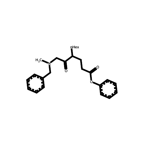 CCCCCCC(CCC(=O)Oc1ccccc1)C(=O)CN(C)Cc1ccccc1